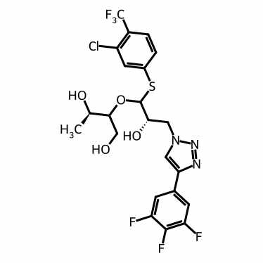 C[C@@H](O)C(CO)OC(Sc1ccc(C(F)(F)F)c(Cl)c1)[C@@H](O)Cn1cc(-c2cc(F)c(F)c(F)c2)nn1